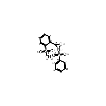 CS(=O)(=O)c1ccccc1C1ON1S(=O)(=O)c1ccccc1